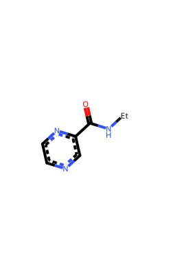 CCNC(=O)c1cnccn1